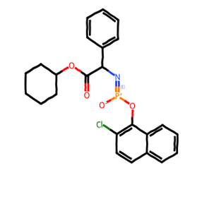 O=C(OC1CCCCC1)C(/N=[P+](\[O-])Oc1c(Cl)ccc2ccccc12)c1ccccc1